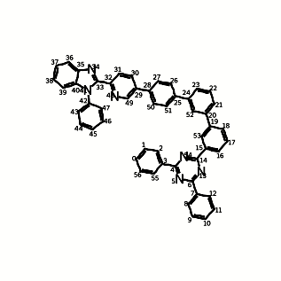 c1ccc(-c2nc(-c3ccccc3)nc(-c3cccc(-c4cccc(-c5ccc(-c6ccc(-c7nc8ccccc8n7-c7ccccc7)nc6)cc5)c4)c3)n2)cc1